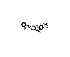 CC(=O)Nc1ccc2c(c1)OC1(CCN(CCc3ccccc3F)CC1)CC2=O